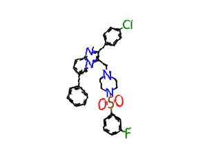 O=S(=O)(c1cccc(F)c1)N1CCN(Cc2c(-c3ccc(Cl)cc3)nc3ccc(-c4ccccc4)cn23)CC1